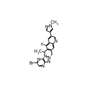 CC(c1c(F)cc2ncc(-c3cnn(C)c3)cc2c1F)n1nnc2ncc(Br)nc21